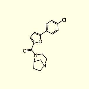 O=C(c1ccc(-c2ccc(Cl)cc2)o1)N1CCN2CCC1C2